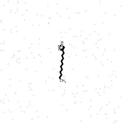 CCCCCCCCCCCc1c[nH]np1